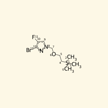 C[Si](C)(C)CCOCn1cc(F)c(Br)n1